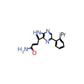 CC(C)c1ccccc1-c1cnc2[nH]cc(/C=C/C(N)=O)c2n1